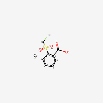 O=C([O-])c1ccccc1S(=O)(=O)CF.[Cs+]